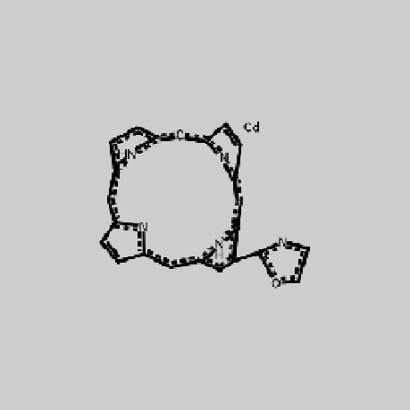 C1=Cc2cc3cc(-c4ncco4)c(cc4nc(cc5ccc(cc1n2)[nH]5)C=C4)[nH]3.[Cd]